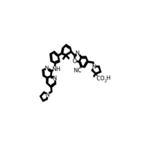 CC1(C)C(c2cccc(Nc3nccc4cc(CN5CCCC5)cnc34)c2)=CC=CC1c1nc2cc(CN3CC[C@@](C)(C(=O)O)C3)cc(C#N)c2o1